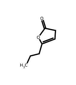 CCCC1=CCC(=O)O1